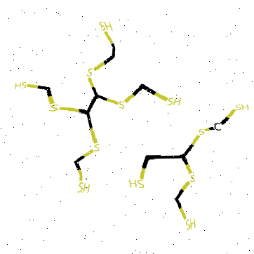 SCSC(CS)SCS.SCSC(SCS)C(SCS)SCS